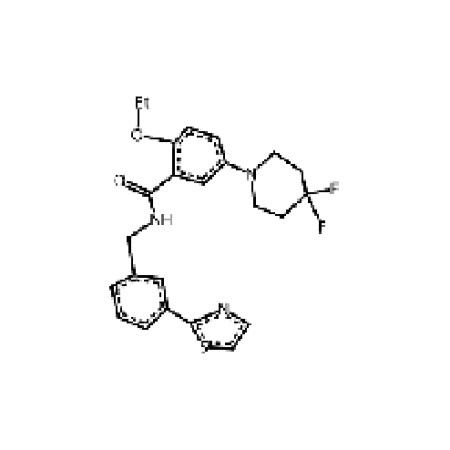 CCOc1ccc(N2CCC(F)(F)CC2)cc1C(=O)NCc1cccc(-c2nccs2)c1